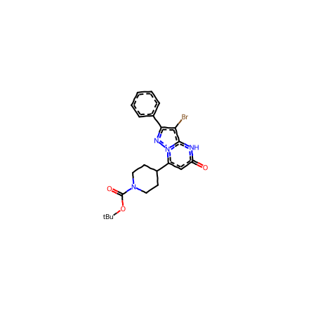 CC(C)(C)OC(=O)N1CCC(c2cc(=O)[nH]c3c(Br)c(-c4ccccc4)nn23)CC1